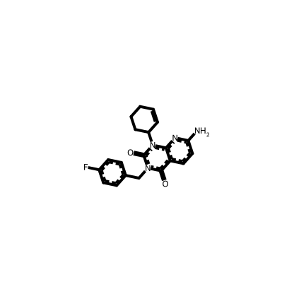 Nc1ccc2c(=O)n(Cc3ccc(F)cc3)c(=O)n(C3C=CCCC3)c2n1